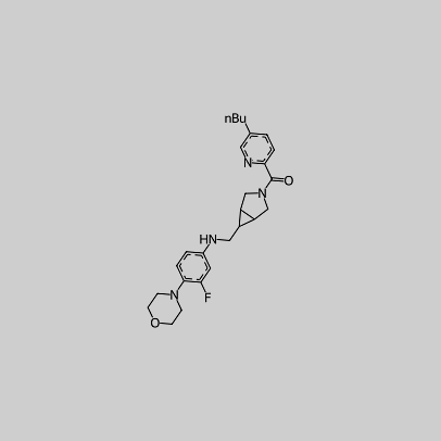 CCCCc1ccc(C(=O)N2CC3C(CNc4ccc(N5CCOCC5)c(F)c4)C3C2)nc1